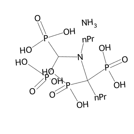 CCCN(C(P(=O)(O)O)P(=O)(O)O)C(CCC)(P(=O)(O)O)P(=O)(O)O.N